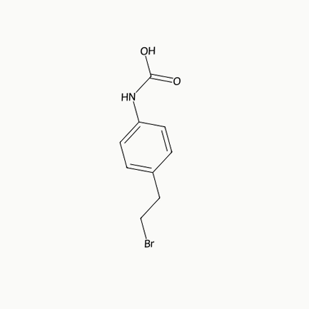 O=C(O)Nc1ccc(CCBr)cc1